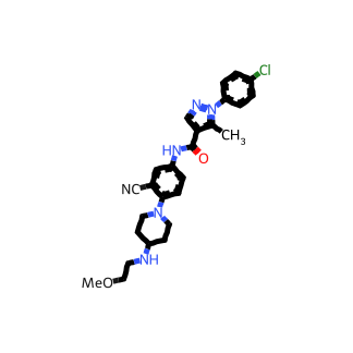 COCCNC1CCN(c2ccc(NC(=O)c3cnn(-c4ccc(Cl)cc4)c3C)cc2C#N)CC1